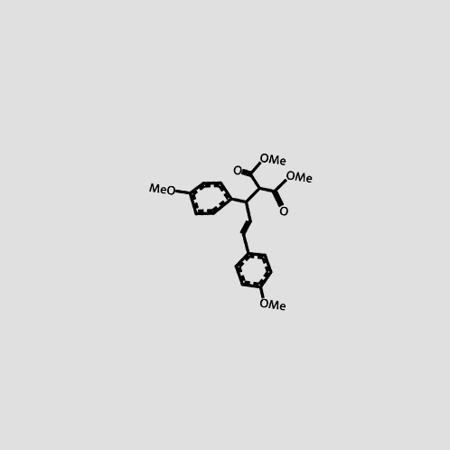 COC(=O)C(C(=O)OC)C(C=Cc1ccc(OC)cc1)c1ccc(OC)cc1